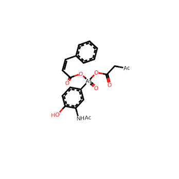 CC(=O)CC(=O)O[As](=O)(OC(=O)/C=C\c1ccccc1)c1ccc(O)c(NC(C)=O)c1